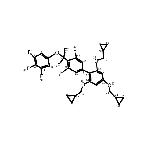 Fc1cc(OC(F)(F)c2c(F)cc(-c3c(OCC4CC4)cc(OCC4CC4)cc3OCC3CC3)cc2F)cc(F)c1F